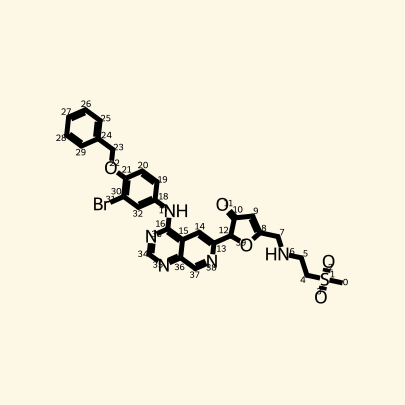 CS(=O)(=O)CCNCC1=CC(=O)C(c2cc3c(Nc4ccc(OCc5ccccc5)c(Br)c4)ncnc3cn2)O1